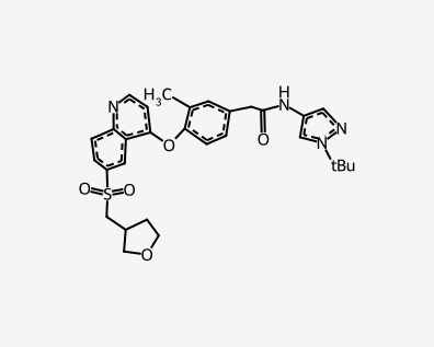 Cc1cc(CC(=O)Nc2cnn(C(C)(C)C)c2)ccc1Oc1ccnc2ccc(S(=O)(=O)CC3CCOC3)cc12